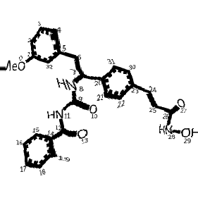 COc1cccc(CC(NC(=O)NC(=O)c2ccccc2)c2ccc(C=CC(=O)NO)cc2)c1